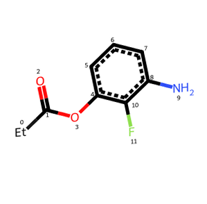 CCC(=O)Oc1cccc(N)c1F